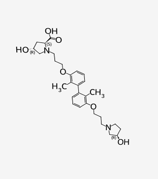 Cc1c(OCCCN2CC[C@@H](O)C2)cccc1-c1cccc(OCCCN2C[C@H](O)C[C@H]2C(=O)O)c1C